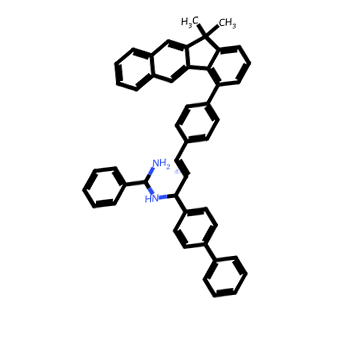 CC1(C)c2cc3ccccc3cc2-c2c(-c3ccc(/C=C/C(NC(N)c4ccccc4)c4ccc(-c5ccccc5)cc4)cc3)cccc21